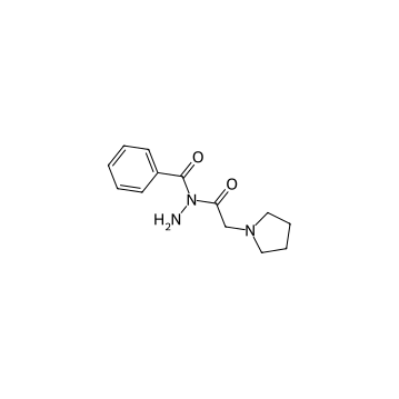 NN(C(=O)CN1CCCC1)C(=O)c1ccccc1